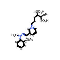 CCCC(C(CCC[n+]1cccc(C=NN(C)c2ccccc2OC)c1)S(=O)(=O)O)S(=O)(=O)O